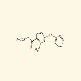 CC(=O)OCC(=O)c1ccc(Oc2ccccc2)cc1C